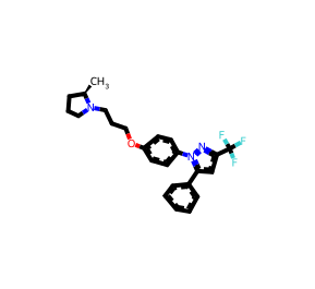 C[C@@H]1CCCN1CCCOc1ccc(-n2nc(C(F)(F)F)cc2-c2ccccc2)cc1